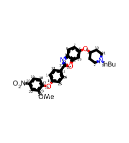 CCCCN1CCC(Oc2ccc3nc(-c4ccc(Oc5ccc([N+](=O)[O-])cc5OC)cc4)oc3c2)CC1